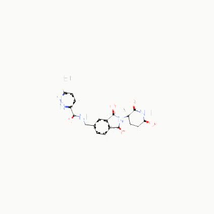 CCSc1ccc(C(=O)NCc2ccc3c(c2)C(=O)N([C@@]2(C)CCC(=O)NC2=O)C3=O)nn1